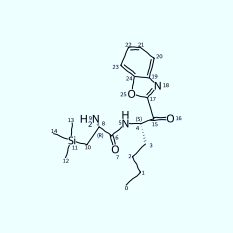 CCCC[C@H](NC(=O)[C@@H](N)C[Si](C)(C)C)C(=O)c1nc2ccccc2o1